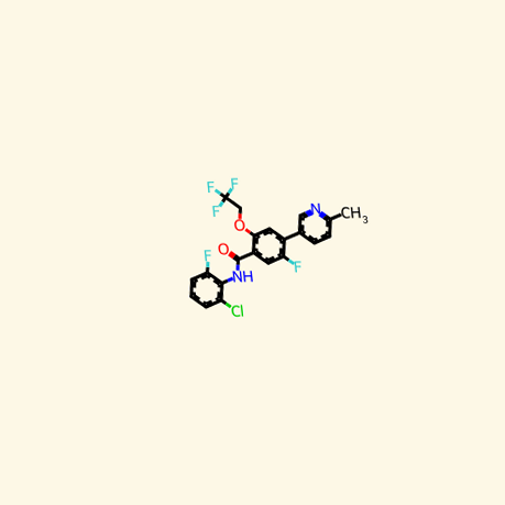 Cc1ccc(-c2cc(OCC(F)(F)F)c(C(=O)Nc3c(F)cccc3Cl)cc2F)cn1